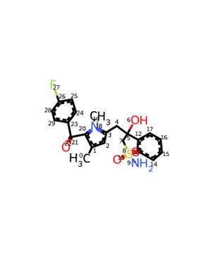 Cc1cc(CC(O)(CS(N)(=O)=O)c2ccccc2)n(C)c1C(=O)c1ccc(F)cc1